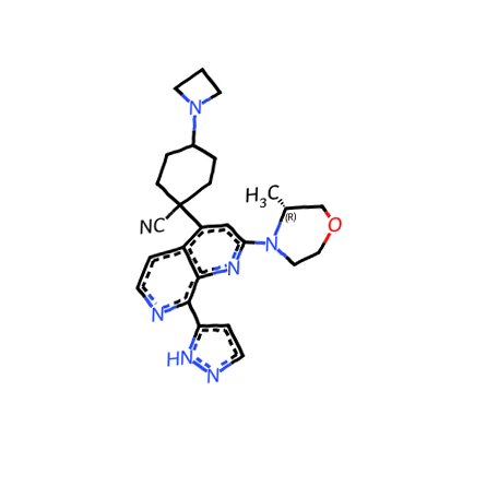 C[C@@H]1COCCN1c1cc(C2(C#N)CCC(N3CCC3)CC2)c2ccnc(-c3ccn[nH]3)c2n1